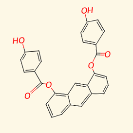 O=C(Oc1cccc2cc3cccc(OC(=O)c4ccc(O)cc4)c3cc12)c1ccc(O)cc1